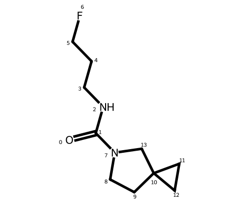 O=C(NCCCF)N1CCC2(CC2)C1